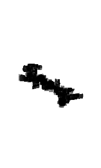 CCCN(Cc1ncc(-c2ccc3c(c2)COc2cc4c(ccc5nc(CN(C(=O)CNC(=O)OC)[C@@H](C)CC)[nH]c54)cc2-3)[nH]1)C(=O)[C@H](NC(=O)OC)c1ccccc1